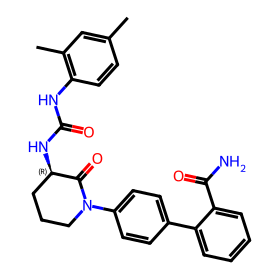 Cc1ccc(NC(=O)N[C@@H]2CCCN(c3ccc(-c4ccccc4C(N)=O)cc3)C2=O)c(C)c1